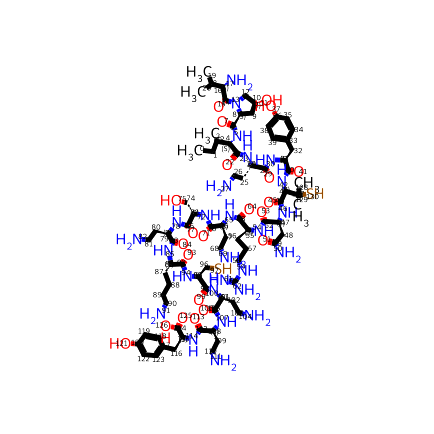 CC[C@H](C)[C@H](NC(=O)[C@@H]1C[C@@H](O)CN1C(=O)[C@@H](N)C(C)C)C(=O)N[C@@H](CCN)C(=O)N[C@@H](Cc1ccc(O)cc1)C(=O)N[C@H](C(=O)N[C@@H](CC(N)=O)C(=O)N[C@@H](CCCNC(=N)N)C(=O)N[C@@H](CCN)C(=O)N[C@@H](CO)C(=O)N[C@H](CCN)C(=O)N[C@@H](CCCCN)C(=O)N[C@@H](CS)C(=O)N[C@@H](CCN)C(=O)N[C@@H](CCN)C(=O)N[C@@H](Cc1ccc(O)cc1)C(=O)O)C(C)(C)S